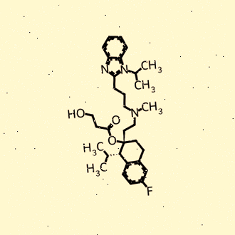 CC(C)[C@H]1c2ccc(F)cc2CC[C@@]1(CCN(C)CCCc1nc2ccccc2n1C(C)C)OC(=O)CCO